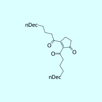 CCCCCCCCCCCCCC(=O)C1=C(C(=O)CCCCCCCCCCCCC)C(=O)CC1